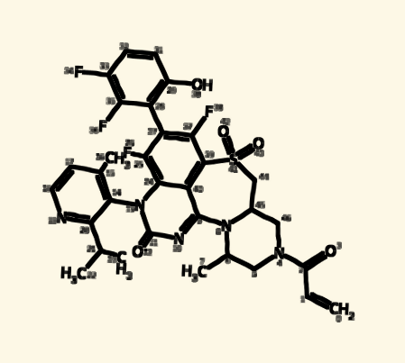 C=CC(=O)N1CC(C)N2c3nc(=O)n(-c4c(C)ccnc4C(C)C)c4c(F)c(-c5c(O)ccc(F)c5F)c(F)c(c34)S(=O)(=O)CC2C1